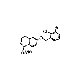 CNC1CCCc2cc(OCc3cccc(Br)c3Cl)ccc21